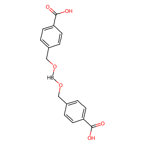 O=C(O)c1ccc(COBOCc2ccc(C(=O)O)cc2)cc1